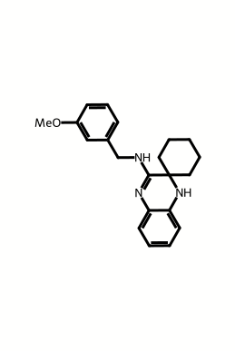 COc1cccc(CNC2=Nc3ccccc3NC23CCCCC3)c1